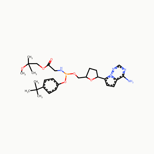 COC(C)(C)COC(=O)CNP(OCC1CCC(c2ccc3c(N)ncnn23)O1)Oc1ccc(C(C)(C)C)cc1